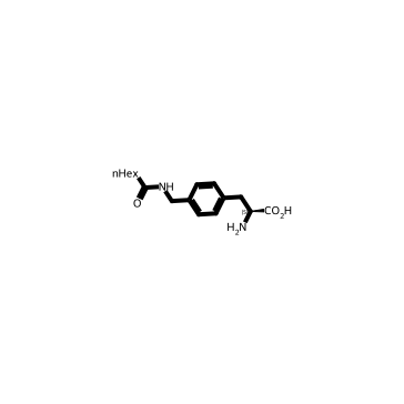 CCCCCCC(=O)NCc1ccc(C[C@H](N)C(=O)O)cc1